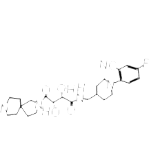 N#Cc1cc(F)ccc1N1CCC(CNC(=O)[C@H](O)[C@@H](O)C(=O)N2CCC3(CCNCC3)C2)CC1